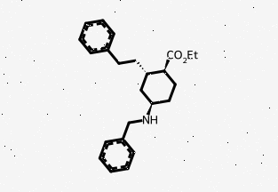 CCOC(=O)[C@H]1CC[C@@H](NCc2ccccc2)C[C@@H]1CCc1ccccc1